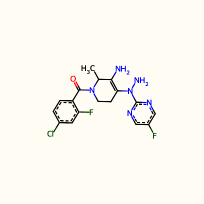 CC1C(N)=C(N(N)c2ncc(F)cn2)CCN1C(=O)c1ccc(Cl)cc1F